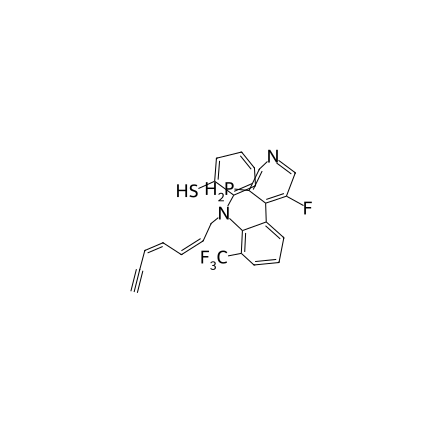 C#C/C=C\C=C/CN(c1ccccc1S)c1c(-c2c(F)cncc2P)cccc1C(F)(F)F